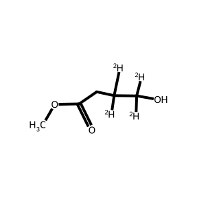 [2H]C([2H])(O)C([2H])([2H])CC(=O)OC